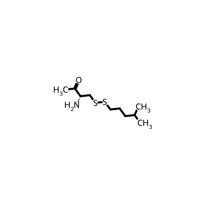 CC(=O)[C@@H](N)CSSCCCC(C)C